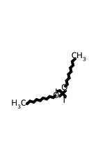 CCCCCCCCCCOCC(CI)(CI)COCCCCCCCCCC